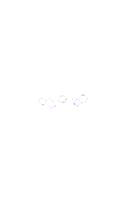 Nc1ccccc1NC(=O)c1ccc(Cn2ncc3c(C(F)(F)F)cccc32)cc1